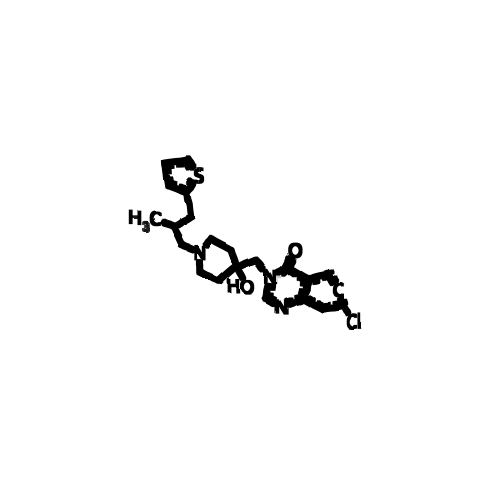 CC(Cc1cccs1)CN1CCC(O)(Cn2cnc3cc(Cl)ccc3c2=O)CC1